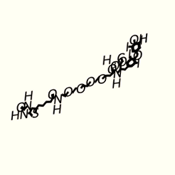 COC(=O)C(Cc1cc(I)c(Oc2cc(I)c(O)c(I)c2)c(I)c1)NC(=O)CCOCCOCCOCCOCCNC(=O)CCCCC1SCC2NC(=O)NC21